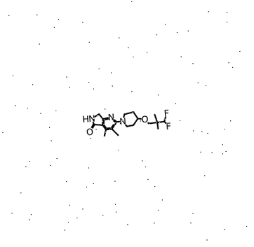 Cc1c(N2CCC(OCC(C)(C)C(F)F)CC2)nc2c(c1C)C(=O)NC2